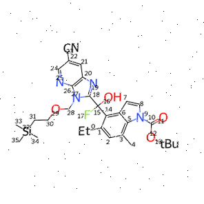 CCc1cc(C)c2c(ccn2C(=O)OC(C)(C)C)c1C(O)(F)c1nc2cc(C#N)cnc2n1COCC[Si](C)(C)C